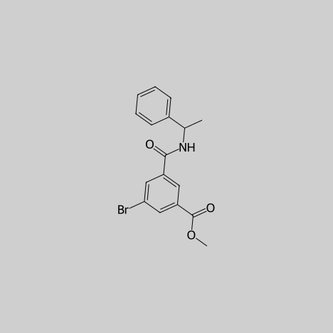 COC(=O)c1cc(Br)cc(C(=O)NC(C)c2ccccc2)c1